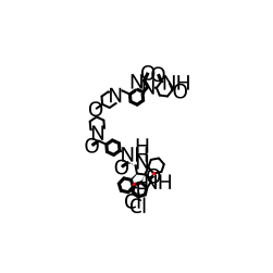 Cn1c(=O)n(C2CCC(=O)NC2=O)c2cccc(CN3CCC(OC4CCN(C(=O)c5ccc(NC(=O)[C@@H]6NC7(CCCCC7)[C@@]7(C(=O)Nc8cc(Cl)ccc87)[C@H]6c6cccc(Cl)c6F)cc5)CC4)CC3)c21